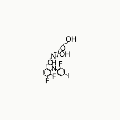 OCCOCC1(O)CN(COCc2ccc(F)c(F)c2Nc2ccc(I)cc2F)C1